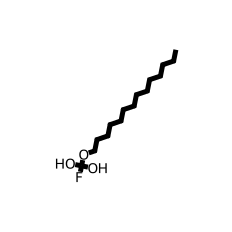 CCCCCCCCCCCCCCOC(O)(O)F